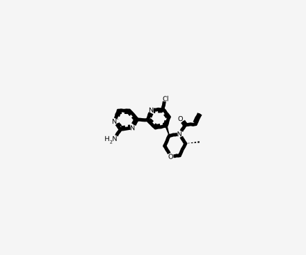 C=CC(=O)N1[C@H](C)COC[C@H]1c1cc(Cl)nc(-c2ccnc(N)n2)c1